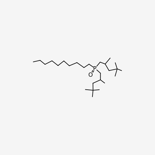 CCCCCCCCCCP(=O)(CC(C)CC(C)(C)C)CC(C)CC(C)(C)C